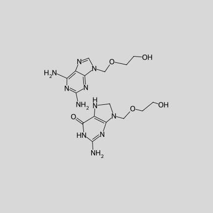 Nc1nc(N)c2ncn(COCCO)c2n1.Nc1nc2c(c(=O)[nH]1)NCN2COCCO